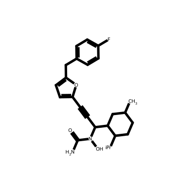 CC1CCC(C(C)C)C(C(C#Cc2ccc(Cc3ccc(F)cc3)o2)N(O)C(N)=O)C1